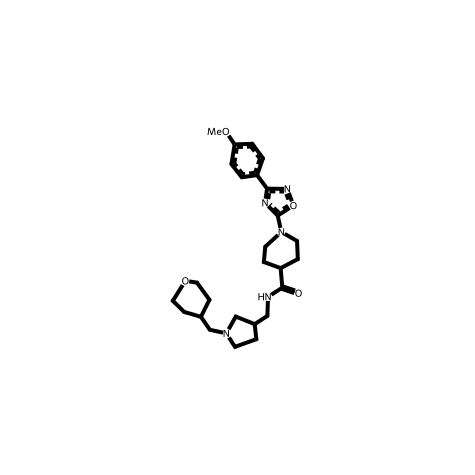 COc1ccc(-c2noc(N3CCC(C(=O)NCC4CCN(CC5CCOCC5)C4)CC3)n2)cc1